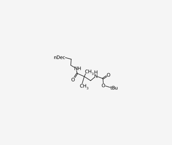 CCCCCCCCCCCCNC(=O)C(C)(C)CNC(=O)OC(C)(C)C